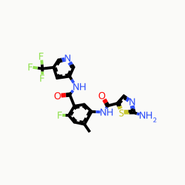 Cc1cc(F)c(C(=O)Nc2cncc(C(F)(F)F)c2)cc1NC(=O)c1cnc(N)s1